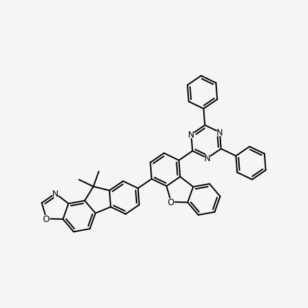 CC1(C)c2cc(-c3ccc(-c4nc(-c5ccccc5)nc(-c5ccccc5)n4)c4c3oc3ccccc34)ccc2-c2ccc3ocnc3c21